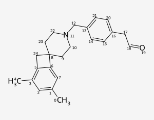 Cc1cc(C)c2c(c1)C1(CCN(Cc3ccc(CC=O)cc3)CC1)C2